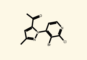 CC(=O)c1cc(C)nn1-c1ccnc(Cl)c1Br